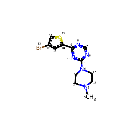 CN1CCN(c2ncnc(-c3cc(Br)cs3)n2)CC1